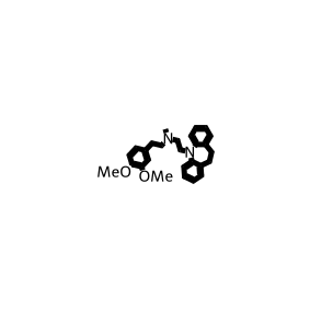 COc1ccc(CCN(C)CCN2c3ccccc3CCc3ccccc32)cc1OC